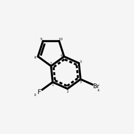 Fc1cc(Br)cc2c1C=CC2